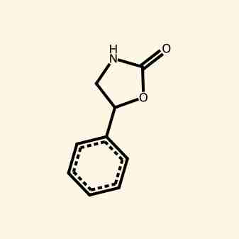 O=C1NCC(c2ccccc2)O1